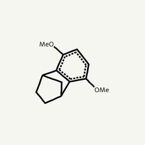 COc1ccc(OC)c2c1C1CCC2C1